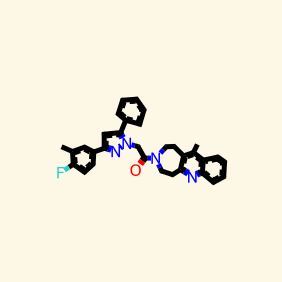 Cc1cc(-c2cc(-c3ccccc3)n(CC(=O)N3CCc4nc5ccccc5c(C)c4CC3)n2)ccc1F